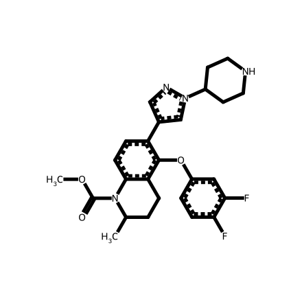 COC(=O)N1c2ccc(-c3cnn(C4CCNCC4)c3)c(Oc3ccc(F)c(F)c3)c2CCC1C